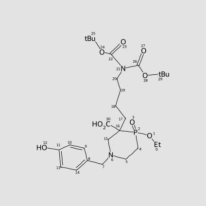 CCOP1(=O)CCN(Cc2ccc(O)cc2)CC1(CCCCN(C(=O)OC(C)(C)C)C(=O)OC(C)(C)C)C(=O)O